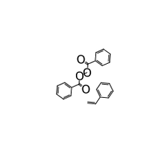 C=Cc1ccccc1.O=C(OOC(=O)c1ccccc1)c1ccccc1